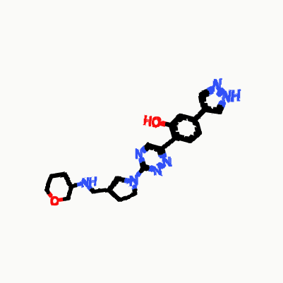 Oc1cc(-c2cn[nH]c2)ccc1-c1cnc(N2CCC(CNC3CCCOC3)C2)nn1